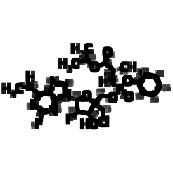 CNc1nc(F)nc2c1ncn2[C@@H]1O[C@](CCl)(CO[P@@](=O)(N[C@@H](C)C(=O)OC(C)C)Oc2ccccc2)[C@@H](O)[C@H]1F